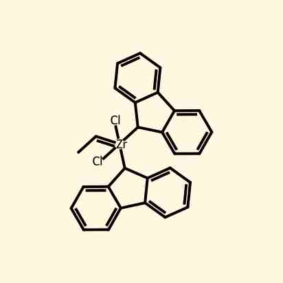 C[CH]=[Zr]([Cl])([Cl])([CH]1c2ccccc2-c2ccccc21)[CH]1c2ccccc2-c2ccccc21